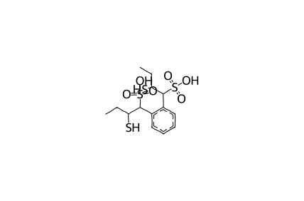 CCC(S)C(c1ccccc1C(C(S)CC)S(=O)(=O)O)S(=O)(=O)O